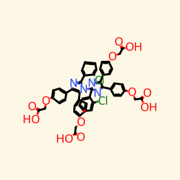 O=C(O)COc1ccc(C2=NC(c3ccccc3Cl)(n3c(-c4ccccc4Cl)nc(-c4ccc(OCC(=O)O)cc4)c3-c3ccc(OCC(=O)O)cc3)N=C2c2ccc(OCC(=O)O)cc2)cc1